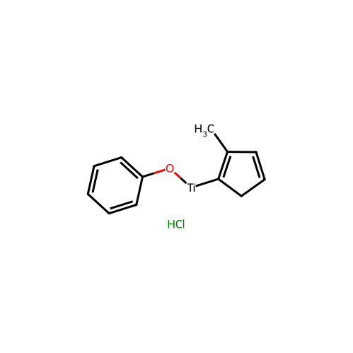 CC1=[C]([Ti][O]c2ccccc2)CC=C1.Cl